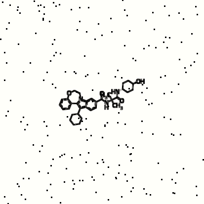 CC(C)(NC(=O)c1ccc2c(C3CCCCC3)c3n(c2c1)CCOc1ccccc1-3)C(=O)N[C@H]1CC[C@H](O)CC1